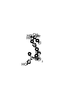 Cc1c(C(O)O)c(-c2cccc(N3CCN(c4ccc(N5CCO[P@@]5(=O)c5ccc(N[C@H](CCN6CCC(CO)CC6)CSc6ccccc6)c(S(=O)(=O)C(F)(F)F)c5)cc4)CC3)c2)c(-c2ccc(Cl)cc2)n1C(C)C